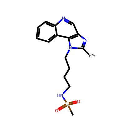 CCCc1nc2cnc3ccccc3c2n1CCCCNS(C)(=O)=O